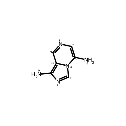 Nc1ncn2c(N)cncc12